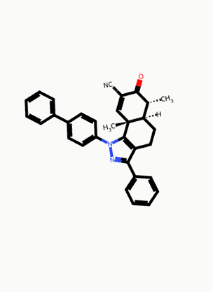 C[C@H]1C(=O)C(C#N)=C[C@@]2(C)c3c(c(-c4ccccc4)nn3-c3ccc(-c4ccccc4)cc3)CC[C@H]12